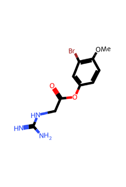 COc1ccc(OC(=O)CNC(=N)N)cc1Br